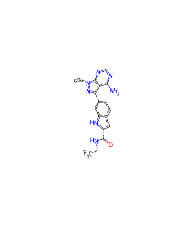 CC(C)(C)n1nc(-c2ccc3cc(C(=O)NCC(F)(F)F)[nH]c3c2)c2c(N)ncnc21